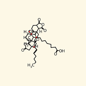 CCCC/C=C/C(CCC(CCCCCCCC(=O)O)C(C(C)C)C12CCC3C(C)(C(=O)O)CCCC3(C)C1CCC1C(=O)OC(=O)[C@H]12)C1CC(=O)OC1=O